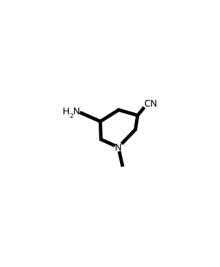 CN1CC(N)CC(C#N)C1